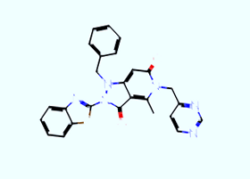 Cc1c2c(=O)n(-c3nc4ccccc4s3)n(Cc3ccccc3)c2cc(=O)n1Cc1ccncn1